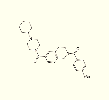 CC(C)(C)c1ccc(C(=O)N2CCc3cc(C(=O)N4CCN(C5CCCCC5)CC4)ccc3C2)cc1